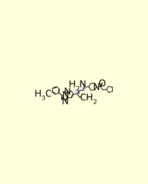 C=C/C(=C\C=C(/N)C1CCN(C(=O)CC2CCCC2)CC1)c1cnn2c(-c3cccc(C)c3)cnc2c1